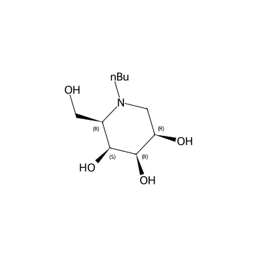 CCCCN1C[C@@H](O)[C@@H](O)[C@@H](O)[C@H]1CO